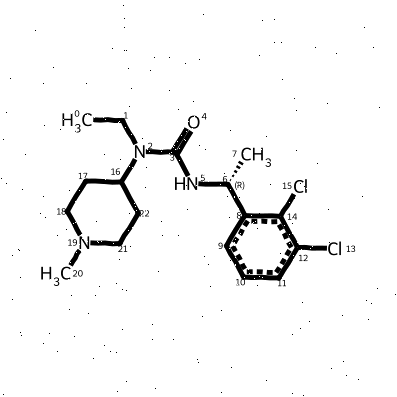 CCN(C(=O)N[C@H](C)c1cccc(Cl)c1Cl)C1CCN(C)CC1